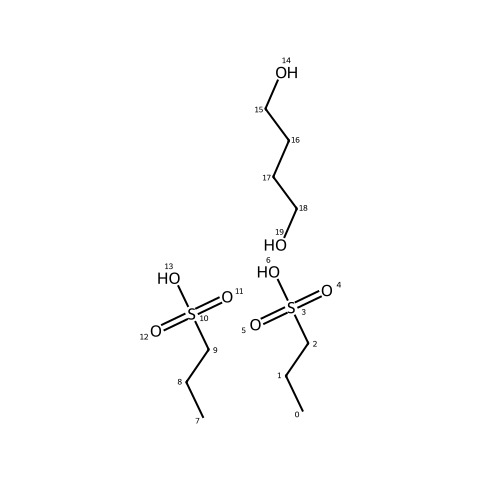 CCCS(=O)(=O)O.CCCS(=O)(=O)O.OCCCCO